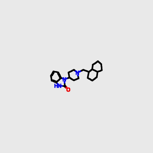 O=c1[nH]c2ccccc2n1C1CCN(CC2CCCC3CCCCC32)CC1